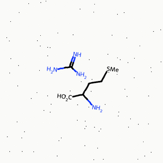 CSCCC(N)C(=O)O.N=C(N)N